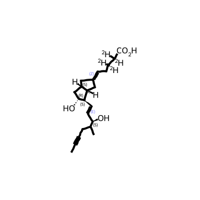 [2H]C([2H])(C/C=C1/C[C@H]2C[C@@H](O)[C@H](/C=C/[C@@H](O)C(C)CC#CC)[C@H]2C1)C([2H])([2H])C(=O)O